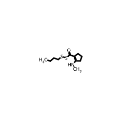 CCCCSSC(=O)C1=C(NC)CCC1